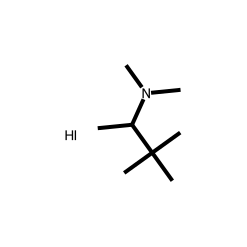 CC(N(C)C)C(C)(C)C.I